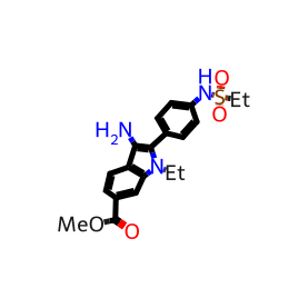 CCn1c(-c2ccc(NS(=O)(=O)CC)cc2)c(N)c2ccc(C(=O)OC)cc21